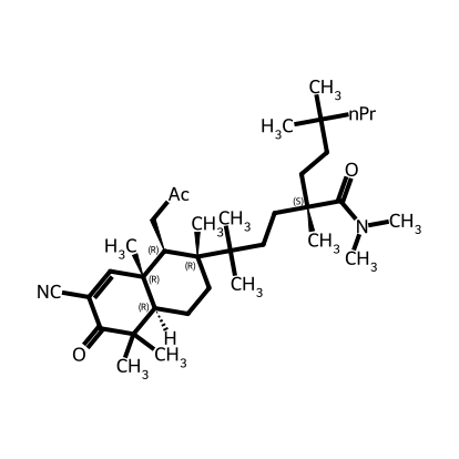 CCCC(C)(C)CC[C@@](C)(CCC(C)(C)[C@]1(C)CC[C@H]2C(C)(C)C(=O)C(C#N)=C[C@]2(C)[C@H]1CC(C)=O)C(=O)N(C)C